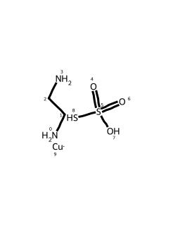 NCCN.O=S(=O)(O)S.[Cu]